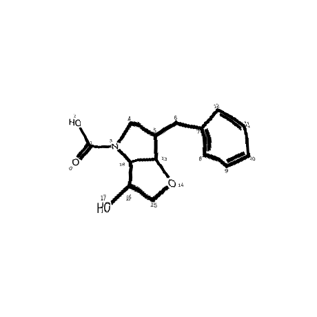 O=C(O)N1CC(Cc2ccccc2)C2OCC(O)C21